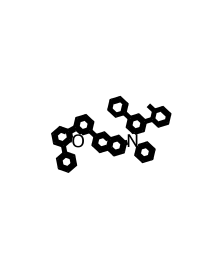 CC1C=CC=CC1c1cc(C2=CC=CCC2)cc(N(c2ccccc2)c2ccc3ccc(-c4cccc5c4oc4c(-c6ccccc6)cccc45)cc3c2)c1